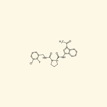 CC(=O)n1cc(NC(=O)[C@H]2CCCN2C(=O)NCc2cccc(Cl)c2F)c2ccccc21